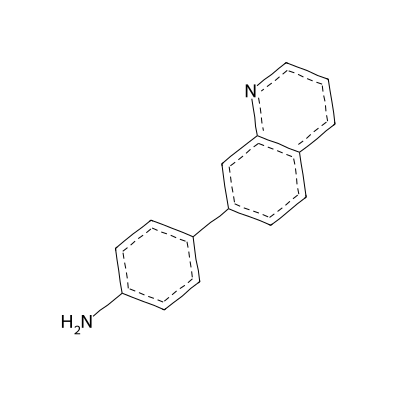 Nc1ccc(-c2ccc3cccnc3c2)cc1